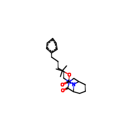 CC(C)(C)OC(=O)N1C2CCCC1C(=O)N(CCCCCc1ccccc1)C2